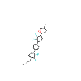 CCCCc1ccc(-c2ccc(-c3ccc(C4CCC(C)CO4)c(F)c3F)cc2)c(F)c1F